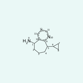 NC1CCCC(C2CC2)c2ncccc21